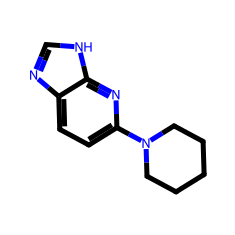 c1nc2ccc(N3CCCCC3)nc2[nH]1